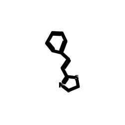 [CH]1CSC(C=Cc2ccccc2)=N1